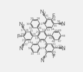 N#Cc1cc(-c2c(-c3ccccc3)c(-c3cc(C#N)c(F)c(C#N)c3)c(-c3ccccc3)c(-c3cc(C#N)c(F)c(C#N)c3)c2-c2ccccc2)cc(C#N)c1F